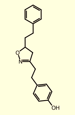 Oc1ccc(CCC2=NOC(CCc3ccccc3)C2)cc1